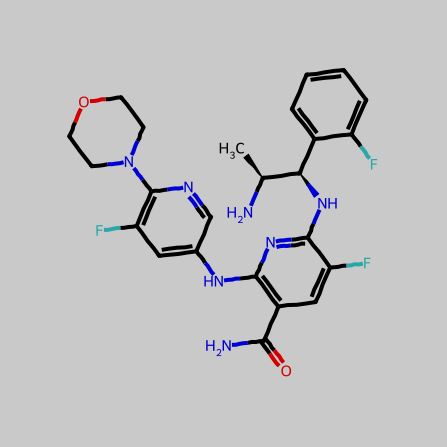 C[C@H](N)[C@H](Nc1nc(Nc2cnc(N3CCOCC3)c(F)c2)c(C(N)=O)cc1F)c1ccccc1F